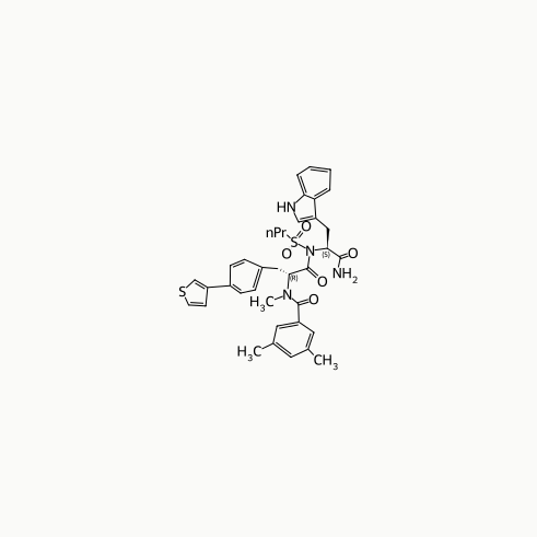 CCCS(=O)(=O)N(C(=O)[C@@H](Cc1ccc(-c2ccsc2)cc1)N(C)C(=O)c1cc(C)cc(C)c1)[C@@H](Cc1c[nH]c2ccccc12)C(N)=O